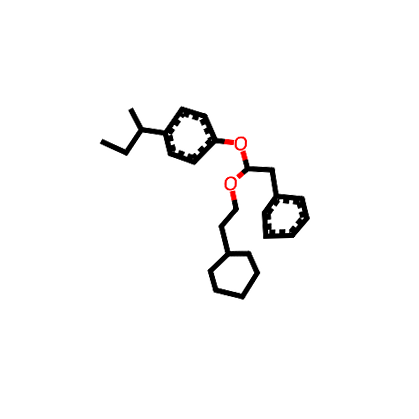 CCC(C)c1ccc(OC(Cc2ccccc2)OCCC2CCCCC2)cc1